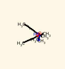 CCCCCCCCCCCCCCCCCCNC(=O)C(C(CC)CCCC)N(CCCN(C)C)C(=O)CCCCCCCCCCCCCCCCC